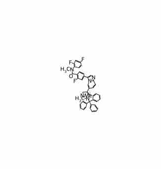 CNC/C(=C\N(C)C(c1ccccc1)(c1ccccc1)c1ccccc1)c1ccc2ncc(-c3ccc(C(=O)N(C)c4ccc(F)cc4F)c(F)c3)n2c1